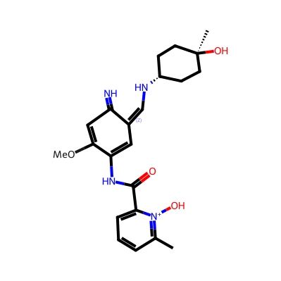 COC1=CC(=N)/C(=C\N[C@H]2CC[C@](C)(O)CC2)C=C1NC(=O)c1cccc(C)[n+]1O